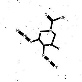 [N-]=[N+]=NC1CN(C(=O)O)CC(F)C1N=[N+]=[N-]